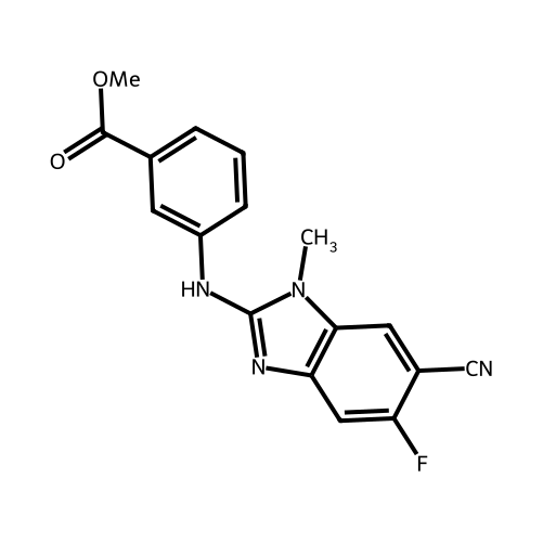 COC(=O)c1cccc(Nc2nc3cc(F)c(C#N)cc3n2C)c1